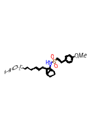 COc1ccc(C=CS(=O)(=O)NC2C3CCC(C3)C2CC=CCCCC(=O)O)cc1